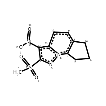 CS(=O)(=O)c1nn2c3c(ccc2c1[N+](=O)[O-])CCC3